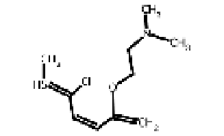 C=C(/C=C\C(Cl)=[SH]C)OCCN(C)C